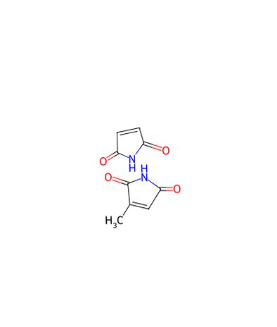 CC1=CC(=O)NC1=O.O=C1C=CC(=O)N1